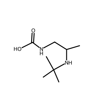 CC(CNC(=O)O)NC(C)(C)C